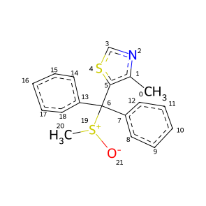 Cc1ncsc1C(c1ccccc1)(c1ccccc1)[S+](C)[O-]